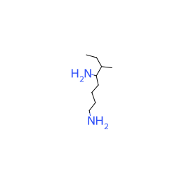 CCC(C)C(N)CCCCN